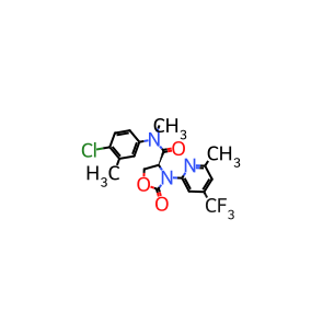 Cc1cc(C(F)(F)F)cc(N2C(=O)OC[C@H]2C(=O)N(C)c2ccc(Cl)c(C)c2)n1